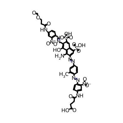 Cc1cc(/N=N/c2cc(S(=O)(=O)O)c3cc(S(=O)(=O)O)c(/N=N/c4ccc(NC(=O)CCOC=O)cc4[N+](=O)[O-])c(O)c3c2N)ccc1/N=N/c1ccc(NC(=O)CCC(=O)O)cc1[N+](=O)[O-]